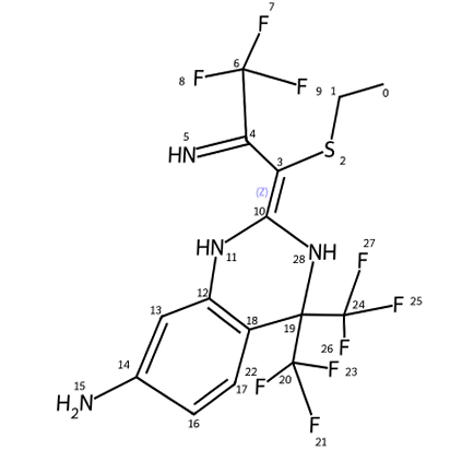 CCS/C(C(=N)C(F)(F)F)=C1/Nc2cc(N)ccc2C(C(F)(F)F)(C(F)(F)F)N1